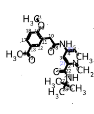 C=N/C(=C\C(=C/C)NC(=O)Cc1cc(C(C)=O)ccc1OC)C(=O)NC(C)(C)C